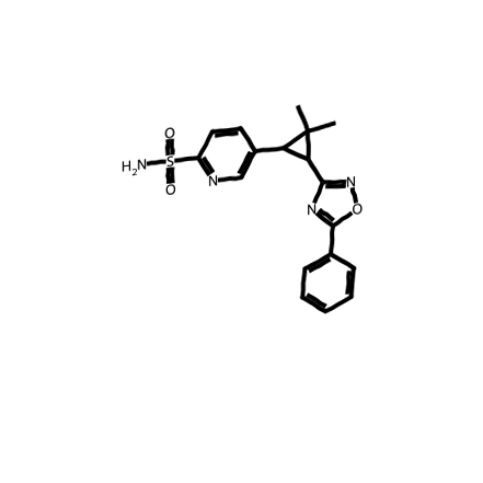 CC1(C)C(c2ccc(S(N)(=O)=O)nc2)C1c1noc(-c2ccccc2)n1